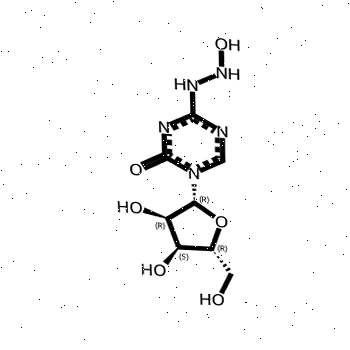 O=c1nc(NNO)ncn1[C@@H]1O[C@H](CO)[C@@H](O)[C@H]1O